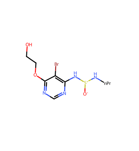 CCCN[S+]([O-])Nc1ncnc(OCCO)c1Br